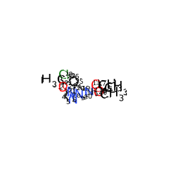 CC(Oc1ccnc(N2CCN(C(=O)OC(C)(C)C)CC2)n1)c1ccccc1Cl